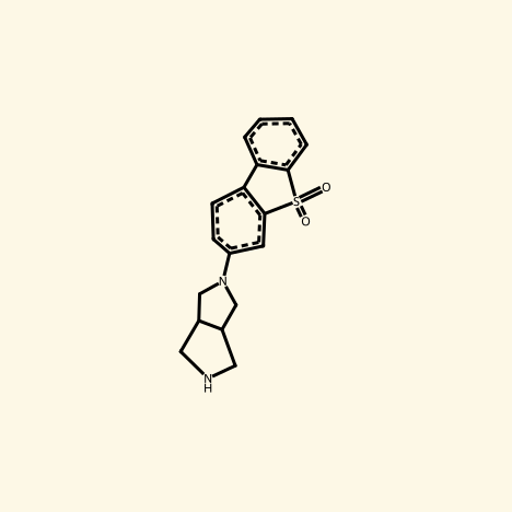 O=S1(=O)c2ccccc2-c2ccc(N3CC4CNCC4C3)cc21